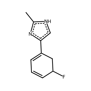 Cc1nc(C2=CC=CC(F)C2)c[nH]1